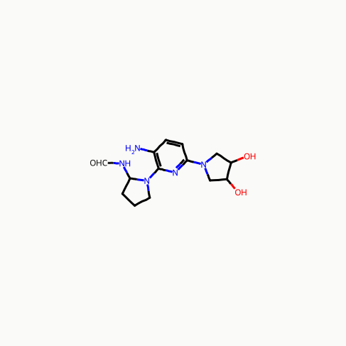 Nc1ccc(N2CC(O)C(O)C2)nc1N1CCCC1NC=O